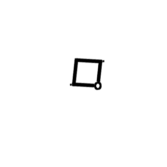 [CH]1C[CH]O1